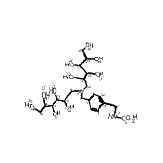 O=C(O)NCc1ccc(CN(CC(O)C(O)C(O)C(O)CO)CC(O)C(O)C(O)C(O)CO)cc1